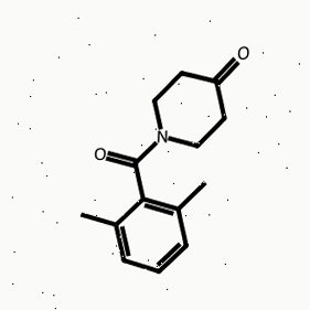 Cc1cccc(C)c1C(=O)N1CCC(=O)CC1